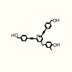 Cc1cc(Sc2cc(C#Cc3ccc(CO)cc3)nc(C#Cc3ccc(CO)cc3)c2)ccc1O